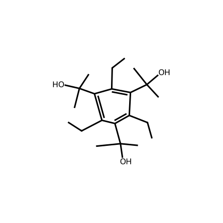 CCc1c(C(C)(C)O)c(CC)c(C(C)(C)O)c(CC)c1C(C)(C)O